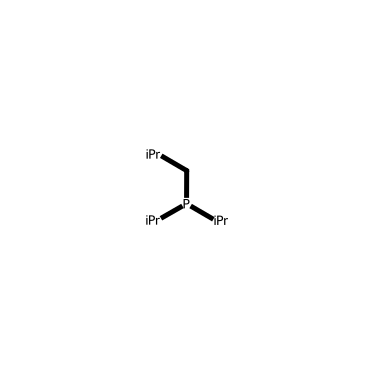 CC(C)CP(C(C)C)C(C)C